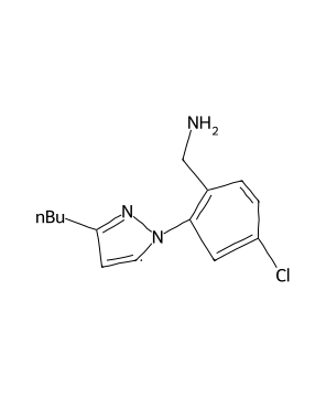 CCCCc1c[c]n(-c2cc(Cl)ccc2CN)n1